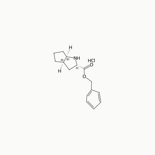 Cl.O=C(OCc1ccccc1)[C@@H]1C[C@H]2CCC[C@H]2N1